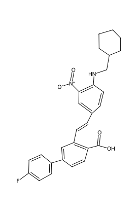 O=C(O)c1ccc(-c2ccc(F)cc2)cc1/C=C/c1ccc(NCC2CCCCC2)c([N+](=O)[O-])c1